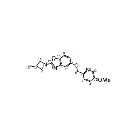 COc1ccc(COc2ccc3oc(N4CC(F)C4)nc3c2)nc1